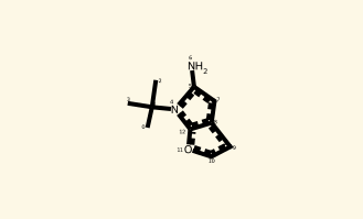 CC(C)(C)n1c(N)cc2ccoc21